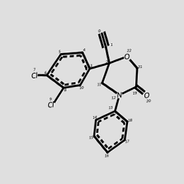 C#CC1(c2ccc(Cl)c(Cl)c2)CN(c2ccccc2)C(=O)CO1